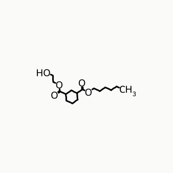 CCCCCCOC(=O)C1CCCC(C(=O)OCCO)C1